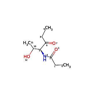 CCC(=O)N[C@H](C(=O)CC)C(C)O